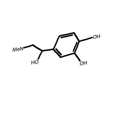 [CH2]NCC(O)c1ccc(O)c(O)c1